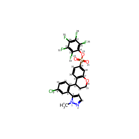 Cn1nccc1-c1cc(Cl)ccc1C1CCOc2cc(S(=O)(=O)Oc3c(F)c(F)c(F)c(F)c3F)ccc21